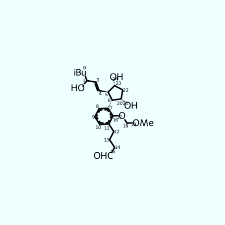 CCC(C)C(O)/C=C/[C@@H]1[C@@H](c2cccc(CCCC=O)c2OCOC)[C@@H](O)C[C@H]1O